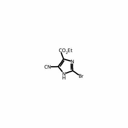 [C-]#[N+]c1[nH]c(Br)nc1C(=O)OCC